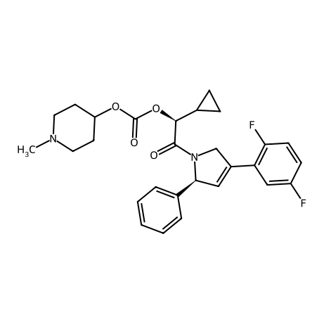 CN1CCC(OC(=O)O[C@H](C(=O)N2CC(c3cc(F)ccc3F)=C[C@H]2c2ccccc2)C2CC2)CC1